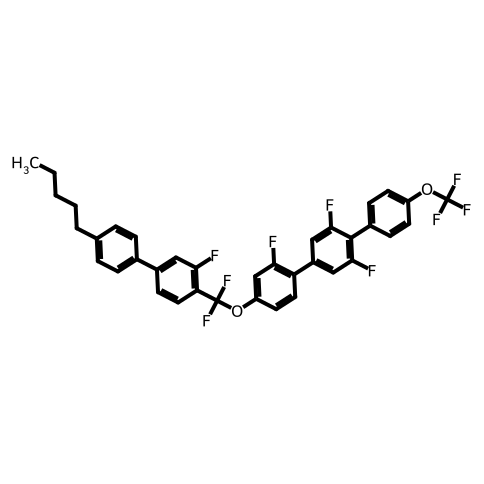 CCCCCc1ccc(-c2ccc(C(F)(F)Oc3ccc(-c4cc(F)c(-c5ccc(OC(F)(F)F)cc5)c(F)c4)c(F)c3)c(F)c2)cc1